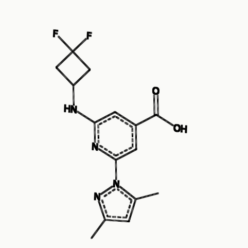 Cc1cc(C)n(-c2cc(C(=O)O)cc(NC3CC(F)(F)C3)n2)n1